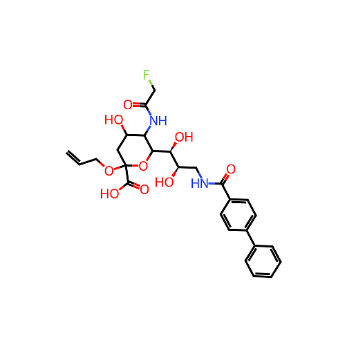 C=CCOC1(C(=O)O)CC(O)C(NC(=O)CF)C([C@@H](O)[C@H](O)CNC(=O)c2ccc(-c3ccccc3)cc2)O1